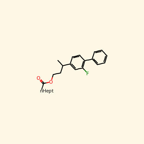 CCCCCCCC(=O)OCCC(C)c1ccc(-c2ccccc2)c(F)c1